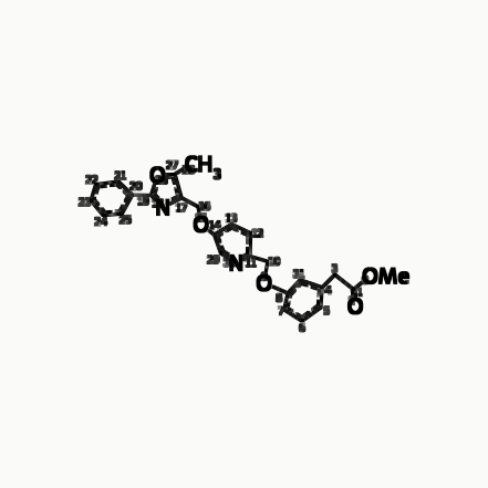 COC(=O)Cc1cccc(OCc2ccc(OCc3nc(-c4ccccc4)oc3C)cn2)c1